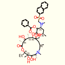 CC[C@H]1OC(=O)[C@H](C)[C@@H](O)[C@H](C)[C@@H](O[C@@H]2O[C@H](C)C[C@H](N(C)CS(=O)(=O)c3ccc4ccccc4c3)[C@H]2OC(=O)c2ccccc2)[C@](C)(O)C[C@@H](C)CN(C)[C@H](C)[C@@H](O)[C@]1(C)O